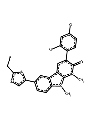 Cn1c(=O)c(-c2ccc(Cl)cc2Cl)cc2c3cc(-c4csc(CF)n4)ccc3n(C)c21